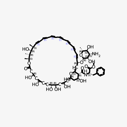 COC(=O)[C@H](Cc1ccccc1)NC(=O)[C@H]1[C@@H]2C[C@@H](O[C@@H]3O[C@H](C)[C@@H](O)[C@H](N)[C@@H]3O)/C=C/C=C/C=C/C=C/C=C/C=C/C=C/[C@H](C)[C@@H](O)[C@@H](C)[C@H](C)OC(=O)C[C@H](O)C[C@H](O)CC[C@@H](O)[C@H](O)C[C@H](O)C[C@](O)(C[C@@H]1O)O2